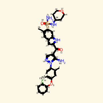 C\C=C(/C(C)=C\C(=C\CCC)Oc1ccccc1F)n1ncc(C(=O)c2cc3cc(C)c([SH](N)(=O)NC4CCOCC4)cc3[nH]2)c1N